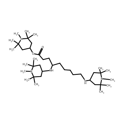 CN1C(C)(C)CC(NCCCCCC(CCC(=O)OC2CC(C)(C)N(C)C(C)(C)C2)NC2CC(C)(C)N(C)C(C)(C)C2)CC1(C)C